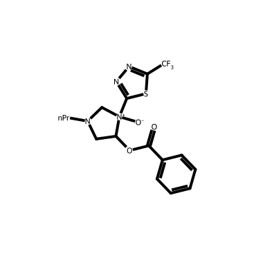 CCCN1CC(OC(=O)c2ccccc2)[N+]([O-])(c2nnc(C(F)(F)F)s2)C1